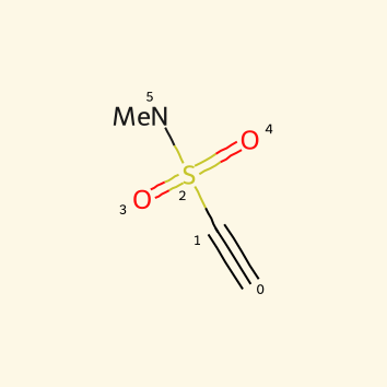 C#CS(=O)(=O)NC